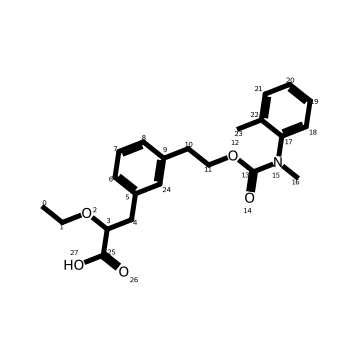 CCOC(Cc1cccc(CCOC(=O)N(C)c2ccccc2C)c1)C(=O)O